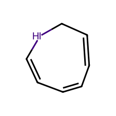 C1=CC=C[IH]CC=C1